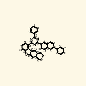 c1ccc(-c2ccc3cc(-c4nc(-c5ccccc5)nc(-c5cccc6oc7cc8cnccc8cc7c56)n4)ccc3c2)cc1